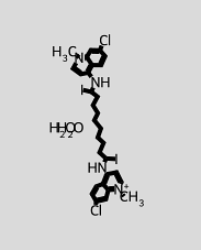 C[n+]1ccc(NC(I)CCCCCCCCC(I)Nc2cc[n+](C)c3cc(Cl)ccc23)c2ccc(Cl)cc21.O.O